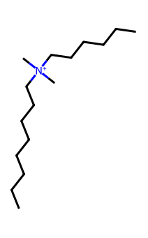 CCCCCCCC[N+](C)(C)CCCCCC